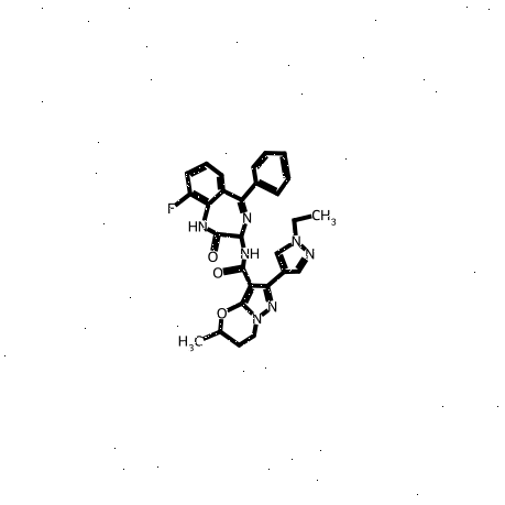 CCn1cc(-c2nn3c(c2C(=O)NC2N=C(c4ccccc4)c4cccc(F)c4NC2=O)OC(C)CC3)cn1